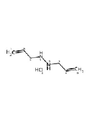 C=CCNNCC=C.Cl